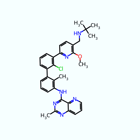 COc1nc(-c2cccc(-c3cccc(Nc4nc(C)nc5cccnc45)c3C)c2Cl)ccc1CNC(C)(C)C